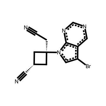 N#CC[C@]1(n2cc(Br)c3cncnc32)C[C@H](C#N)C1